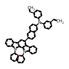 C=Cc1cccc(N(c2cccc(C=C)c2)c2ccc3cc(-c4cc5c6ccccc6n(-c6ccccc6)c5c5c4c4ccccc4n5-c4ccccc4)ccc3c2)c1